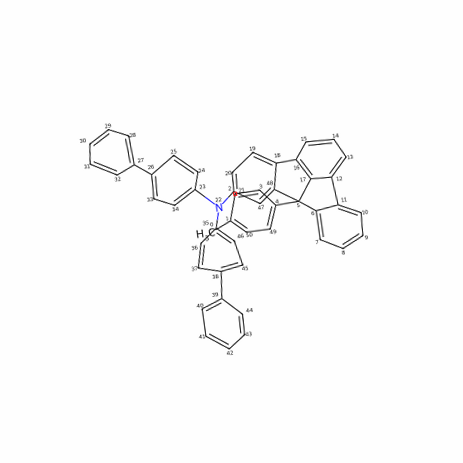 Cc1ccc(C23c4ccccc4-c4cccc(c42)-c2ccc(N(c4ccc(-c5ccccc5)cc4)c4ccc(-c5ccccc5)cc4)cc23)cc1